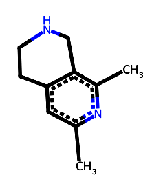 Cc1cc2c(c(C)n1)CNCC2